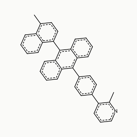 Cc1ncccc1-c1ccc(-c2c3ccccc3c(-c3ccc(C)c4ccccc34)c3ccccc23)cc1